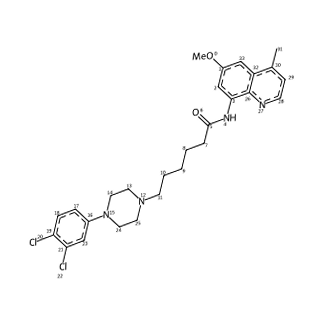 COc1cc(NC(=O)CCCCCN2CCN(c3ccc(Cl)c(Cl)c3)CC2)c2nccc(C)c2c1